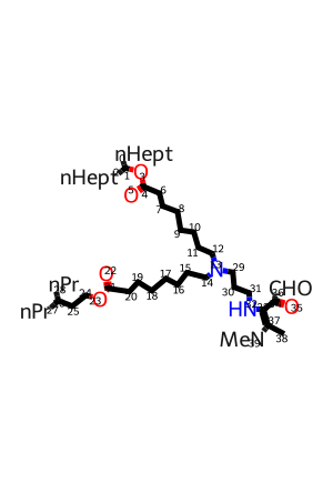 CCCCCCCC(CCCCCCC)OC(=O)CCCCCCCN(CCCCCCCC(=O)OCCC(CCC)CCC)CCCN/C(C(=O)C=O)=C(/C)NC